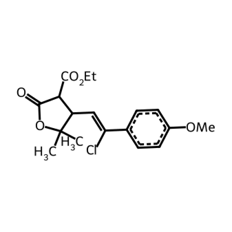 CCOC(=O)C1C(=O)OC(C)(C)C1C=C(Cl)c1ccc(OC)cc1